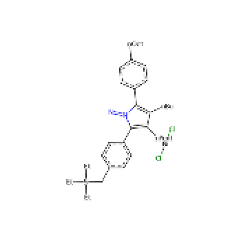 CCCCCCCCc1ccc(C2=C(CCCC)C(CCCCC)=C(c3ccc(C[Si](CC)(CC)CC)cc3)[N+]2=[N-])cc1.[Cl][Ni][Cl]